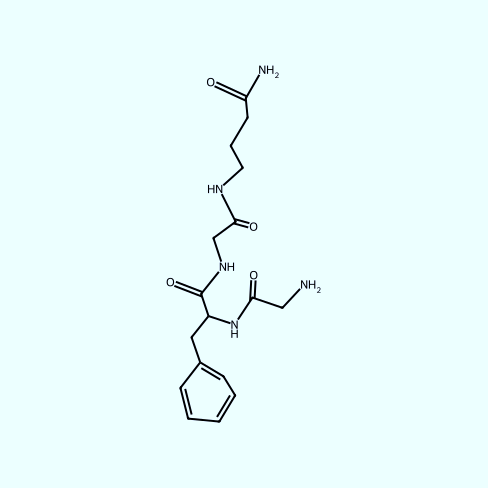 NCC(=O)NC(Cc1ccccc1)C(=O)NCC(=O)NCCCC(N)=O